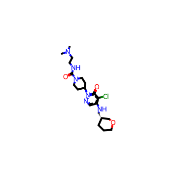 CN(C)CCNC(=O)N1CCC(n2ncc(NC[C@H]3CCCOC3)c(Cl)c2=O)CC1